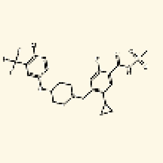 CS(=O)(=O)NC(=O)c1cc(C2CC2)c(CN2CCC(Oc3ccc(Cl)c(C(F)(F)F)c3)CC2)cc1F